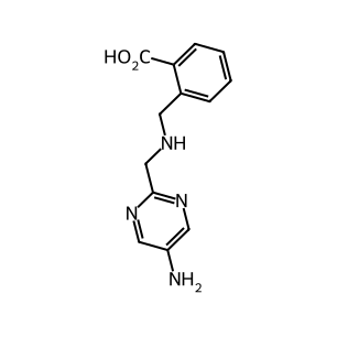 Nc1cnc(CNCc2ccccc2C(=O)O)nc1